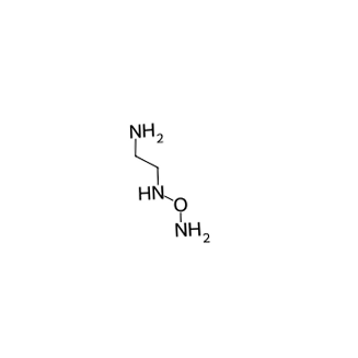 NCCNON